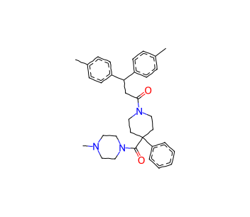 Cc1ccc(C(CC(=O)N2CCC(C(=O)N3CCN(C)CC3)(c3ccccc3)CC2)c2ccc(C)cc2)cc1